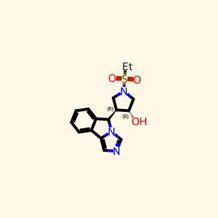 CCS(=O)(=O)N1C[C@H](C2c3ccccc3-c3cncn32)[C@@H](O)C1